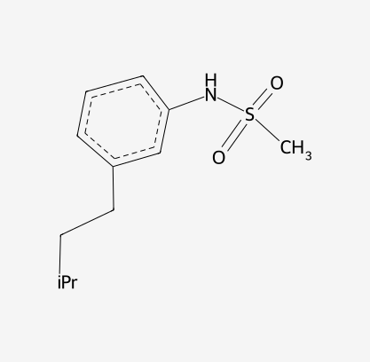 CC(C)CCc1cccc(NS(C)(=O)=O)c1